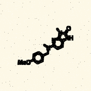 COc1ccc(CN(C)c2ccc3[nH]c(=O)n(C)c3n2)cc1